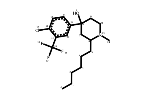 CCCCCCC1CC(O)(c2ccc(Cl)c(C(F)(F)F)c2)CCN1C